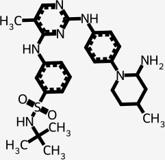 Cc1cnc(Nc2ccc(N3CCC(C)CC3N)cc2)nc1Nc1cccc(S(=O)(=O)NC(C)(C)C)c1